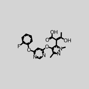 C/C(O)=C(\C(=O)O)c1c(Oc2cc(Oc3ccccc3F)ncn2)c(C)nn1C